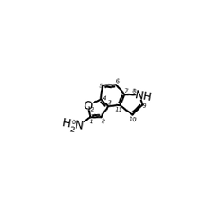 Nc1cc2c(ccc3[nH]ccc32)o1